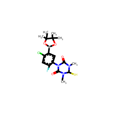 CN1C(=O)N(c2cc(B3OC(C)(C)C(C)(C)O3)c(Cl)cc2F)C(=O)N(C)C1S